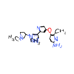 Cc1nc(N)ccc1Oc1ccnc(/C(C=N)=C/N(C)C2CCN(C)C2)c1